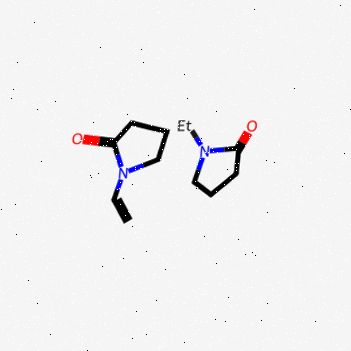 C=CN1CCCC1=O.CCN1CCCC1=O